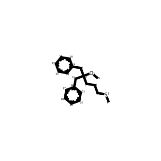 COC(CCCSC)(Cc1cc[c]cc1)Cc1ccccc1